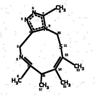 C/C1=N/Cc2nnc(C)n2CS/C(C)=C(/C)C1C